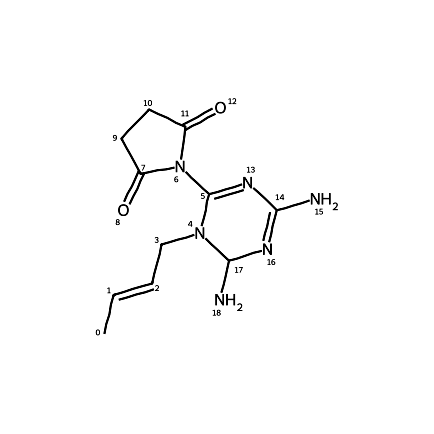 CC=CCN1C(N2C(=O)CCC2=O)=NC(N)=NC1N